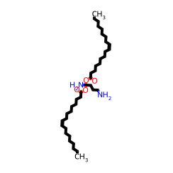 CCCCCCCC/C=C\CCCCCCCC(=O)OC(N)(CCCN)OC(=O)CCCCCCC/C=C\CCCCCCCC